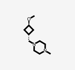 CO[C@H]1C[C@H](CN2CCN(C)CC2)C1